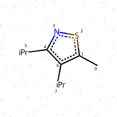 Cc1snc(C(C)C)c1C(C)C